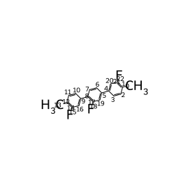 Cc1ccc(-c2ccc(-c3ccc(C)c(F)c3)c(F)c2)cc1F